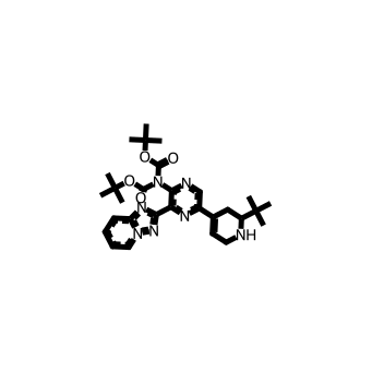 CC(C)(C)OC(=O)N(C(=O)OC(C)(C)C)c1ncc(C2=CCNC(C(C)(C)C)C2)nc1-c1nc2ccccn2n1